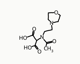 CC(=O)N(CCN1CCOCC1)C(C(=O)O)C(=O)O